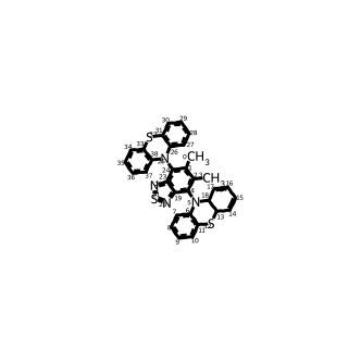 Cc1c(C)c(N2c3ccccc3SC3C=CC=CC32)c2nsnc2c1N1c2ccccc2Sc2ccccc21